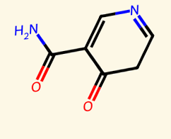 NC(=O)C1=CN=CCC1=O